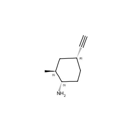 C#C[C@@H]1CC[C@H](N)[C@@H](C)C1